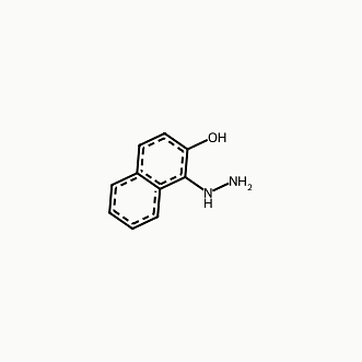 NNc1c(O)ccc2ccccc12